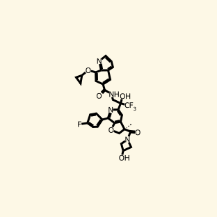 C[C@]1(C(=O)N2CC(O)C2)COc2c1cc(C(O)(CNC(=O)c1cc(OC3CC3)c3ncccc3c1)C(F)(F)F)nc2-c1ccc(F)cc1